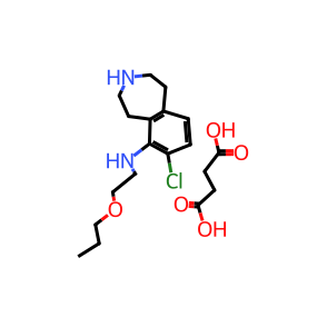 CCCOCCNc1c(Cl)ccc2c1CCNCC2.O=C(O)CCC(=O)O